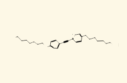 CCCCCCCCOc1ccc(C#Cc2ccc(CCCCCCCC)cn2)cc1